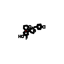 O=C1N(Cc2ccc(Cl)cc2)OCCC1(c1ccc(O)c(F)c1)N1CCCCC1